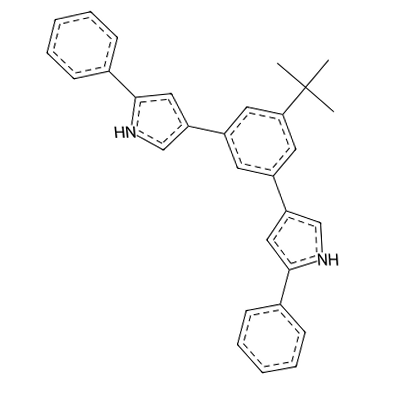 CC(C)(C)c1cc(-c2c[nH]c(-c3ccccc3)c2)cc(-c2c[nH]c(-c3ccccc3)c2)c1